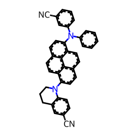 N#Cc1cccc(N(c2ccccc2)c2ccc3ccc4c(N5CCCc6cc(C#N)ccc65)ccc5ccc2c3c54)c1